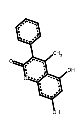 Cc1c(-c2ccccc2)c(=O)oc2cc(O)cc(O)c12